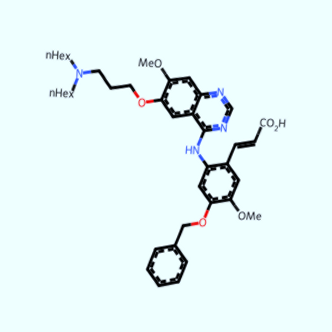 CCCCCCN(CCCCCC)CCCOc1cc2c(Nc3cc(OCc4ccccc4)c(OC)cc3/C=C/C(=O)O)ncnc2cc1OC